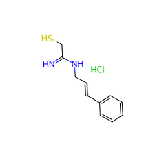 Cl.N=C(CS)NCC=Cc1ccccc1